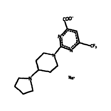 O=C([O-])c1cc(C(F)(F)F)nc(N2CCC(N3CCCC3)CC2)n1.[Na+]